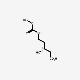 CC(C)(C)OC(=O)NCC[C@@H](O)CC(=O)O